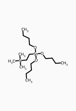 CCCC[O][Sn]([CH2]C[Si](C)(C)C)([O]CCCC)[O]CCCC